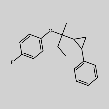 CCC(C)(Oc1ccc(F)cc1)C1CC1c1ccccc1